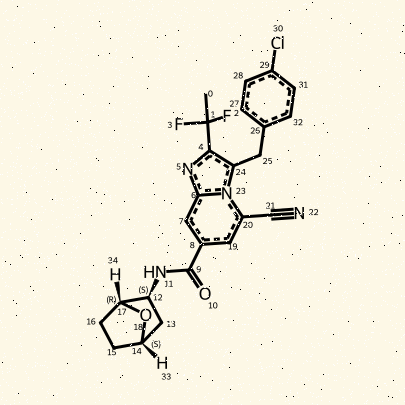 CC(F)(F)c1nc2cc(C(=O)N[C@H]3C[C@@H]4CC[C@H]3O4)cc(C#N)n2c1Cc1ccc(Cl)cc1